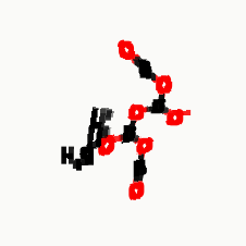 O=BOB([O-])OB([O-])OB=O.[Li+].[Li+].[SiH4]